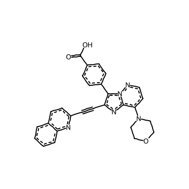 O=C(O)c1ccc(-c2c(C#Cc3ccc4ccccc4n3)nc3c(N4CCOCC4)ccnn23)cc1